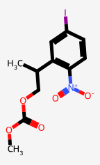 COC(=O)OCC(C)c1cc(I)ccc1[N+](=O)[O-]